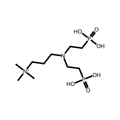 C[N+](C)(C)CCCN(CCP(=O)(O)O)CCP(=O)(O)O